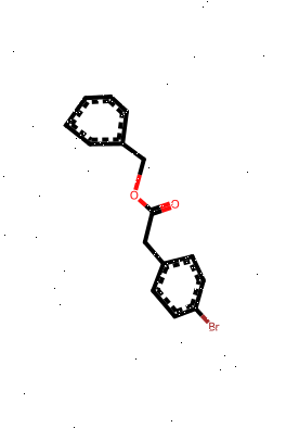 O=C(Cc1ccc(Br)cc1)OCc1ccccc1